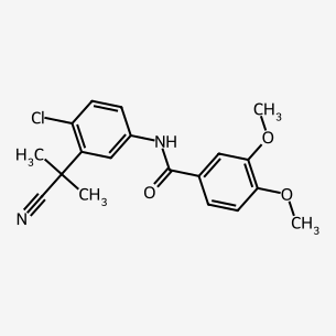 COc1ccc(C(=O)Nc2ccc(Cl)c(C(C)(C)C#N)c2)cc1OC